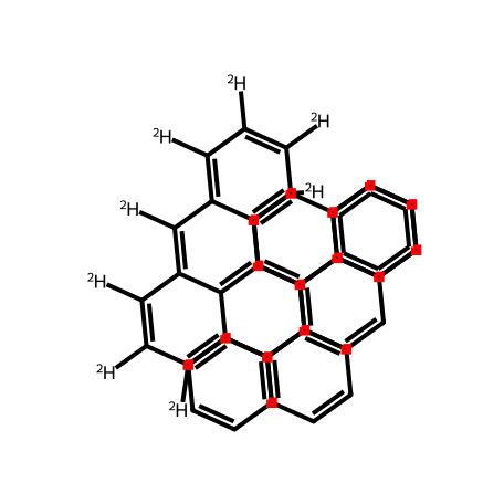 [2H]c1c([2H])c([2H])c2c(-c3c(-c4ccccc4)ccc4ccccc34)c3c(-c4ccccc4-c4cccc5ccccc45)c([2H])c([2H])c([2H])c3c([2H])c2c1[2H]